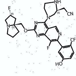 N#CC[C@H]1CN(c2nc(OC[C@@]34CCCN3C[C@H](F)C4)nc3c(F)c(-c4cc(O)ccc4C(F)(F)F)ncc23)CCN1